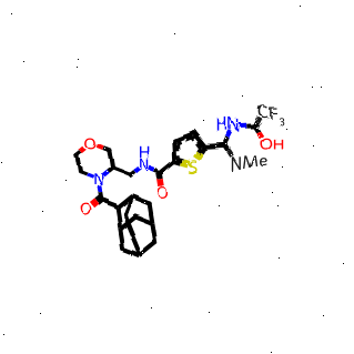 CNC(NC(O)C(F)(F)F)c1ccc(C(=O)NCC2COCCN2C(=O)C2C3CC4CC(C3)CC2C4)s1